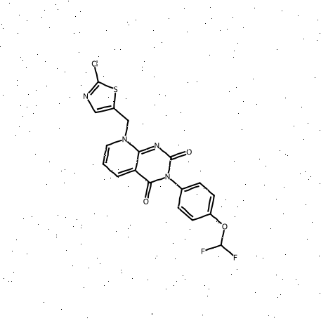 O=c1nc2n(Cc3cnc(Cl)s3)cccc-2c(=O)n1-c1ccc(OC(F)F)cc1